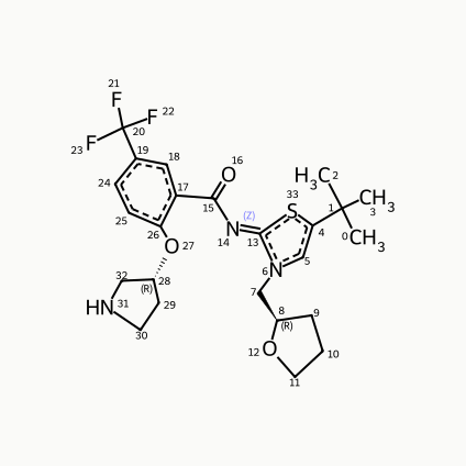 CC(C)(C)c1cn(C[C@H]2CCCO2)/c(=N/C(=O)c2cc(C(F)(F)F)ccc2O[C@@H]2CCNC2)s1